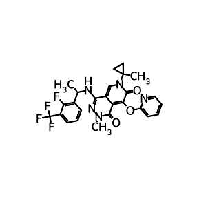 C[C@@H](Nc1nn(C)c(=O)c2c(Oc3ccccn3)c(=O)n(C3(C)CC3)cc12)c1cccc(C(F)(F)F)c1F